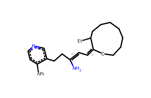 CCCc1ccncc1CC/C(N)=C/C=C1/CCCCCCCCC1CC